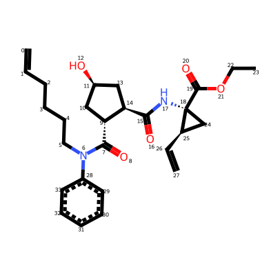 C=CCCCCN(C(=O)[C@@H]1C[C@@H](O)C[C@H]1C(=O)N[C@]1(C(=O)OCC)C[C@H]1C=C)c1ccccc1